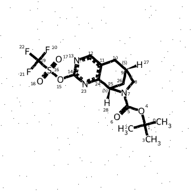 CC(C)(C)OC(=O)N1C[C@H]2Cc3cnc(OS(=O)(=O)C(F)(F)F)nc3[C@@H]1C2